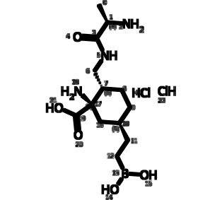 C[C@@H](N)C(=O)NC[C@@H]1CC[C@@H](CCB(O)O)C[C@]1(N)C(=O)O.Cl.Cl